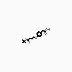 CC(C)(C)OC(=O)CCCOc1ccc(CC(=O)O)cc1